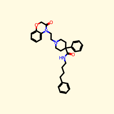 O=C1COc2ccccc2N1CCN1CCC(C(=O)NCCCCc2ccccc2)(c2ccccc2)CC1